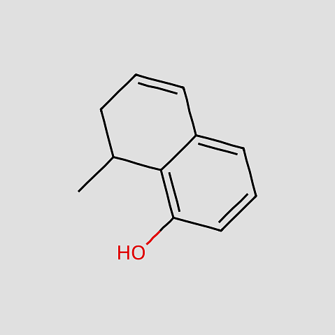 CC1CC=Cc2cccc(O)c21